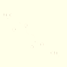 [CH2]CC(=O)OCCC(=O)OCC